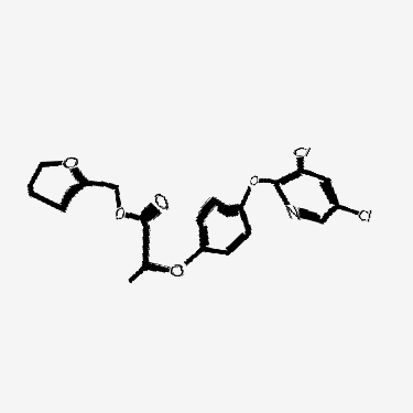 CC(Oc1ccc(Oc2ncc(Cl)cc2Cl)cc1)C(=O)OCC1CCCO1